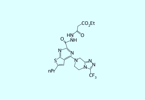 CCCc1cc2c(N3CCn4c(nnc4C(F)(F)F)C3)nc(C(=O)NNC(=O)CC(=O)OCC)nc2s1